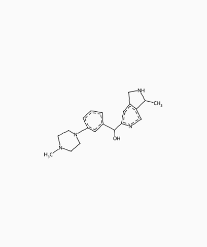 CC1NCc2cc(C(O)c3cccc(N4CCN(C)CC4)c3)ncc21